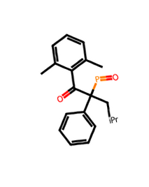 Cc1cccc(C)c1C(=O)C(CC(C)C)(P=O)c1ccccc1